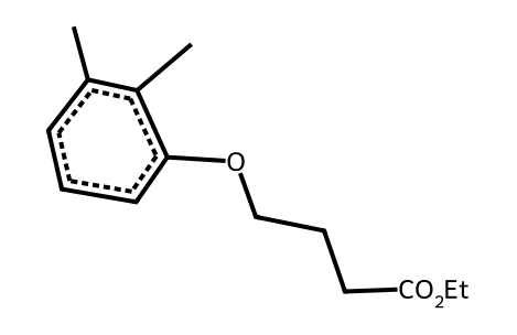 CCOC(=O)CCCOc1cccc(C)c1C